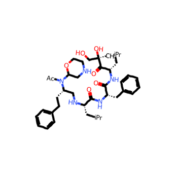 CC(=O)N(C1CNCCO1)[C@@H](CCc1ccccc1)CN[C@@H](CC(C)C)C(=O)N[C@@H](Cc1ccccc1)C(=O)N[C@@H](CC(C)C)C(=O)[C@](C)(O)CO